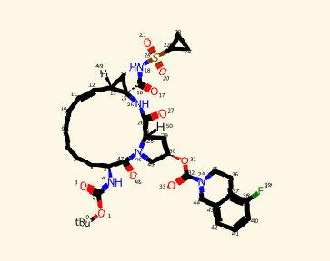 CC(C)(C)OC(=O)N[C@H]1CCCCC/C=C\[C@@H]2C[C@@]2(C(=O)NS(=O)(=O)C2CC2)NC(=O)[C@@H]2C[C@@H](OC(=O)N3CCc4c(F)cccc4C3)CN2C1=O